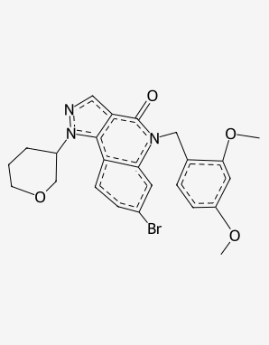 COc1ccc(Cn2c(=O)c3cnn(C4CCCOC4)c3c3ccc(Br)cc32)c(OC)c1